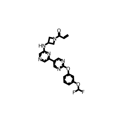 C=CC(=O)N1CC(Nc2cncc(-c3cnc(Oc4cccc(OC(F)F)c4)nc3)n2)C1